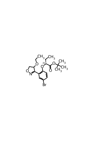 CCOC1CON=C1c1cc(Br)ccc1O[C@@H](CC)C(=O)OC(C)(C)C